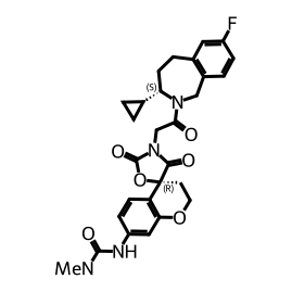 CNC(=O)Nc1ccc2c(c1)OCC[C@@]21OC(=O)N(CC(=O)N2Cc3ccc(F)cc3CC[C@H]2C2CC2)C1=O